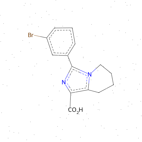 O=C(O)c1nc(-c2cccc(Br)c2)n2c1CCCC2